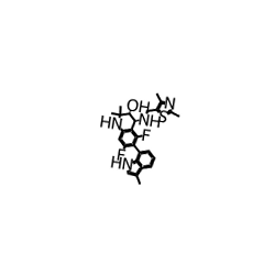 Cc1nc(C)c(CN[C@H]2c3c(cc(F)c(-c4cccc5c(C)c[nH]c45)c3F)NC(C)(C)[C@@H]2O)s1